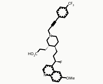 COc1ccc2nccc([C@H](F)CC[C@@H]3CCN(CC#Cc4ccc(C(F)(F)F)cc4)C[C@H]3CCC(=O)O)c2c1